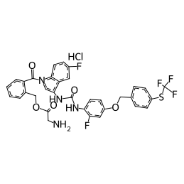 Cl.NCC(=O)OCc1ccccc1C(=O)n1cc(NC(=O)Nc2ccc(OCc3ccc(SC(F)(F)F)cc3)cc2F)c2cc(F)ccc21